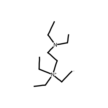 [CH2]C[N+](CC)(CC)CCN(CC)CC